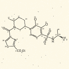 CCOC(=O)c1nc(C(=O)N2CC(c3ccc(S(=O)(=O)N[C@@H](C)C(F)(F)F)c(Cl)c3Cl)CCC2C)cs1